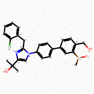 C[S+]([O-])c1cc(-c2ccc(-n3cc(C(C)(C)O)nc3Cc3ccccc3Cl)cc2)ccc1CO